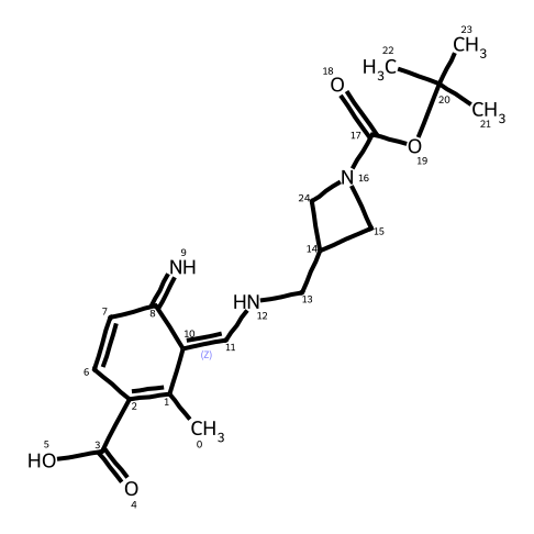 CC1=C(C(=O)O)C=CC(=N)/C1=C\NCC1CN(C(=O)OC(C)(C)C)C1